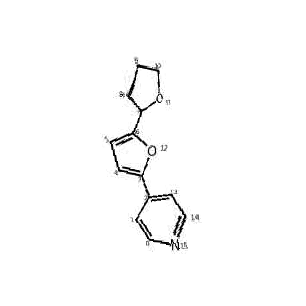 c1cc(-c2ccc(C3CCCO3)o2)ccn1